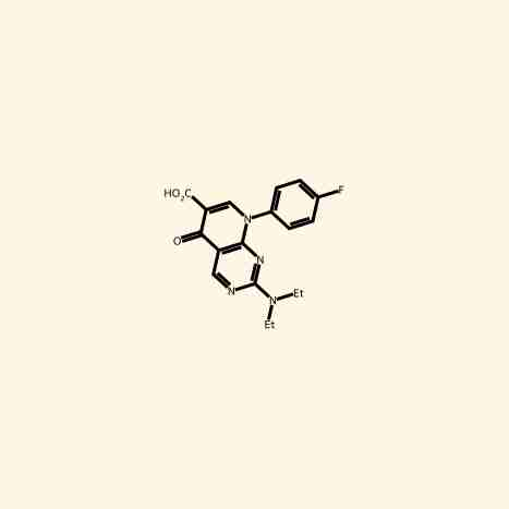 CCN(CC)c1ncc2c(=O)c(C(=O)O)cn(-c3ccc(F)cc3)c2n1